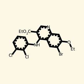 CCOC(=O)c1cnc2cc(OCC)c(Br)cc2c1Nc1cccc(Cl)c1Cl